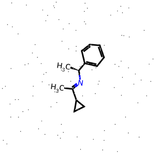 C/C(=N\[C@@H](C)c1ccccc1)C1CC1